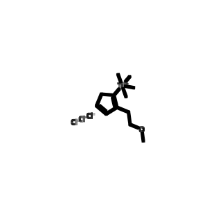 COCCC1=[C]([Ti+3]([CH3])([CH3])([CH3])[CH3])CC=C1.[Cl-].[Cl-].[Cl-]